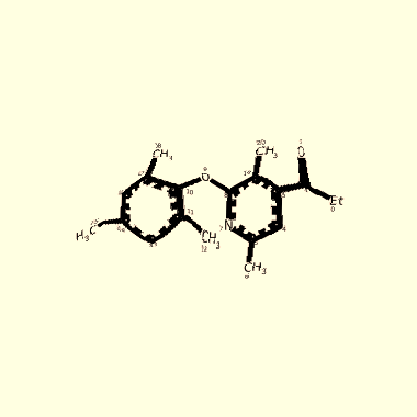 CCC(=O)c1cc(C)nc(Oc2c(C)cc(C)cc2C)c1C